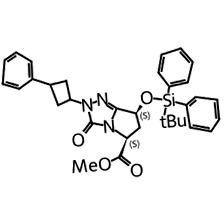 COC(=O)[C@@H]1C[C@H](O[Si](c2ccccc2)(c2ccccc2)C(C)(C)C)c2nn(C3CC(c4ccccc4)C3)c(=O)n21